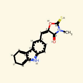 CN1C(=O)/C(=C\c2ccc3[nH]c4c(c3c2)=CCCC=4)OC1=S